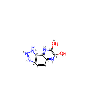 Oc1nc2ccc3nn[nH]c3c2nc1O